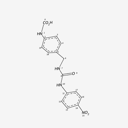 O=C(O)Nc1ccc(CNC(=O)Nc2ccc([N+](=O)[O-])cc2)cc1